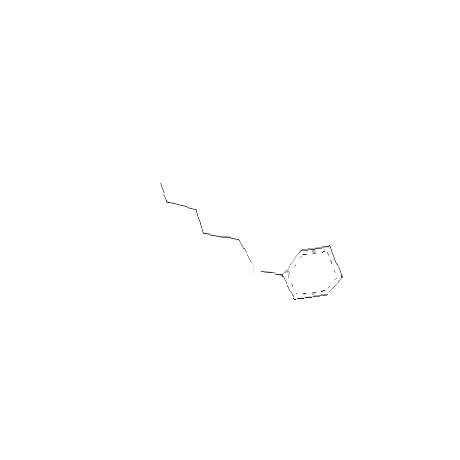 O=C(O)CCCCPc1ccccc1